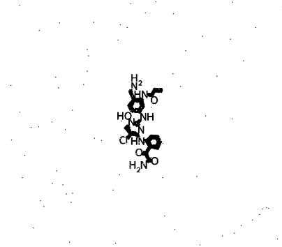 C=CC(=O)Nc1cc(Nc2ncc(Cl)c(Nc3ccccc3C(=O)C(N)=O)n2)c(O)cc1CN